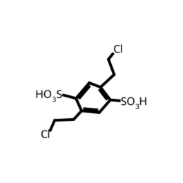 O=S(=O)(O)c1cc(CCCl)c(S(=O)(=O)O)cc1CCCl